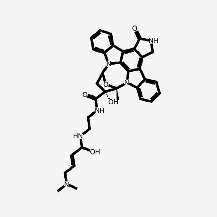 CN(C)C/C=C/C(O)NCCNC(=O)[C@@]1(O)CC2O[C@]1(C)n1c3ccccc3c3c4c(c5c6ccccc6n2c5c31)C(=O)NC4